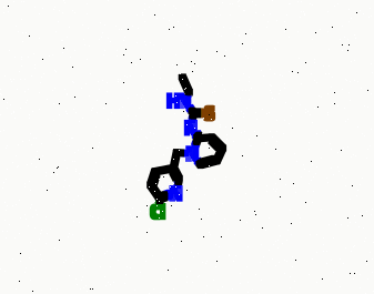 CCNC(=S)N=c1ccccn1Cc1ccc(Cl)nc1